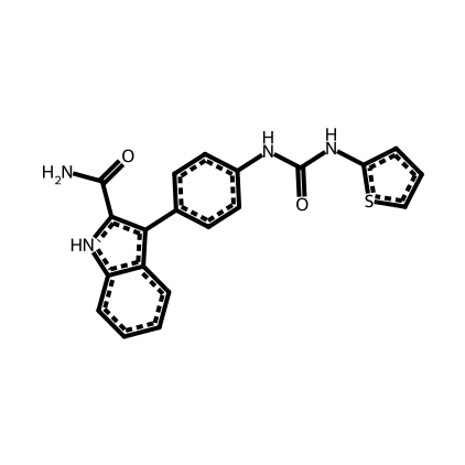 NC(=O)c1[nH]c2ccccc2c1-c1ccc(NC(=O)Nc2cccs2)cc1